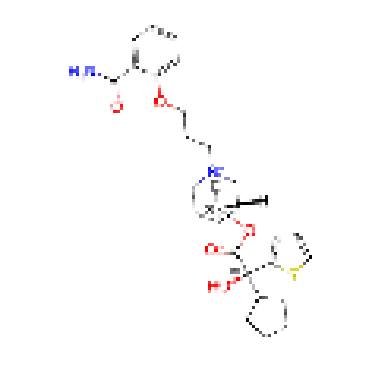 NC(=O)c1ccccc1OCCC[N+]12CCC(CC1)[C@@H](OC(=O)[C@](O)(c1cccs1)C1CCCC1)C2